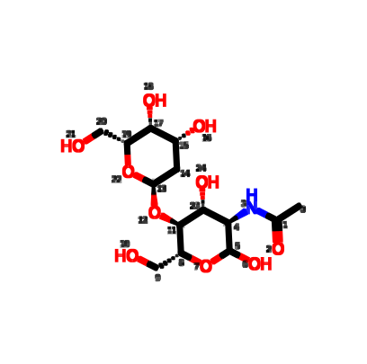 CC(=O)N[C@H]1C(O)O[C@H](CO)[C@@H](O[C@@H]2C[C@@H](O)[C@@H](O)[C@@H](CO)O2)[C@@H]1O